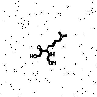 CN(C)CCCC[C@H](NCO)C(=O)CO